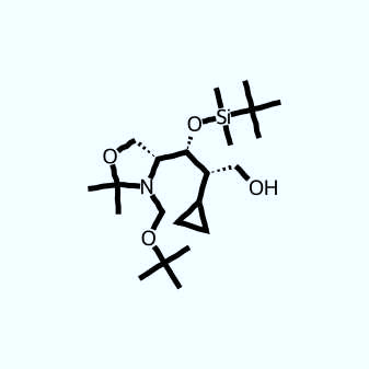 CC(C)(C)OCN1[C@@H]([C@H](O[Si](C)(C)C(C)(C)C)[C@H](CO)C2CC2)COC1(C)C